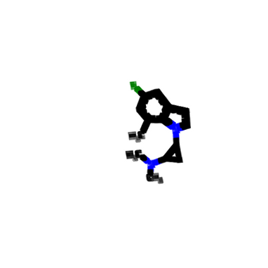 Cc1cc(F)cc2ccn(C3CC3N(C)C)c12